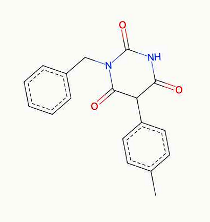 Cc1ccc(C2C(=O)NC(=O)N(Cc3ccccc3)C2=O)cc1